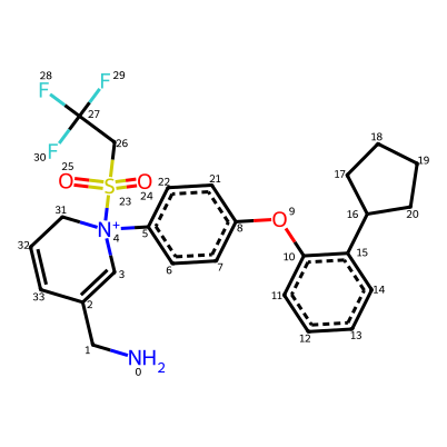 NCC1=C[N+](c2ccc(Oc3ccccc3C3CCCC3)cc2)(S(=O)(=O)CC(F)(F)F)CC=C1